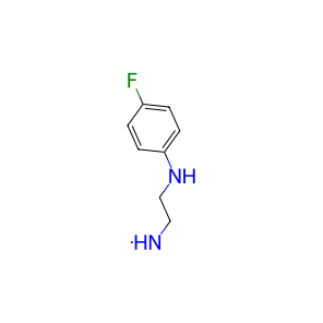 [NH]CCNc1ccc(F)cc1